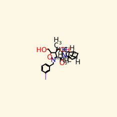 CC(O)C1C(CO)ON(Cc2cccc(I)c2)[C@@H]1C(=O)N[C@H]1C[C@H]2C[C@@H](C1C)C2(C)C